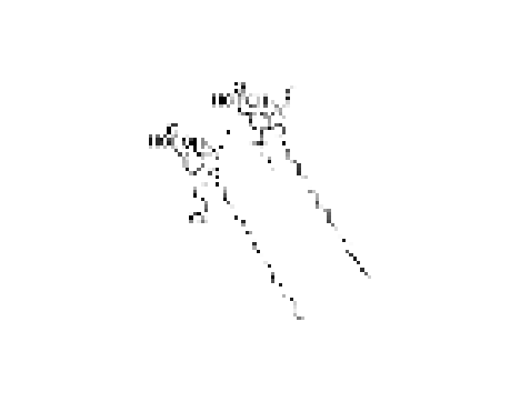 CCCCCCCCCCCCCCCCCCOc1c(C(C)(C)CCC)cc(CP(=O)(O)O)cc1C(C)(C)CCC.CCCCCCCCCCCCCCCCCCOc1c(C(C)(C)CCC)cc(CP(=O)(O)O)cc1C(C)(C)CCC.[Co]